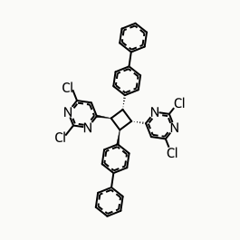 Clc1cc([C@H]2[C@H](c3ccc(-c4ccccc4)cc3)[C@H](c3cc(Cl)nc(Cl)n3)[C@H]2c2ccc(-c3ccccc3)cc2)nc(Cl)n1